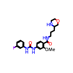 COc1cc(NC(=O)Nc2cccc(I)c2)ccc1C(=O)NCCCC1COCCN1